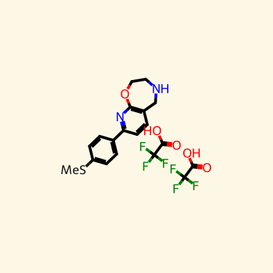 CSc1ccc(-c2ccc3c(n2)OCCNC3)cc1.O=C(O)C(F)(F)F.O=C(O)C(F)(F)F